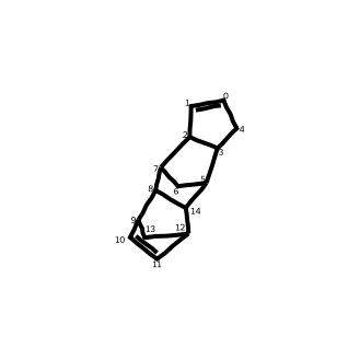 C1=CC2C(C1)C1CC2C2C3C=CC(C3)C12